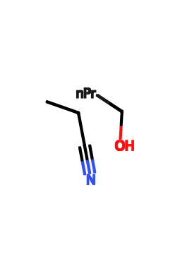 CCC#N.CCCCO